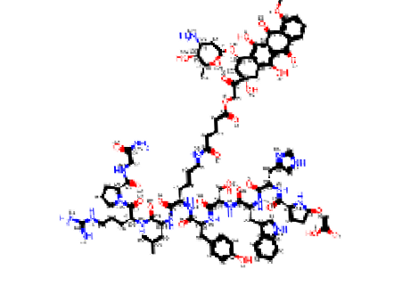 CC(=O)O.COc1cccc2c1C(=O)c1c(O)c3c(c(O)c1C2=O)C[C@@](O)(C(=O)COC(=O)CCCC(=O)NCCCC[C@@H](NC(=O)[C@H](Cc1ccc(O)cc1)NC(=O)[C@H](CO)NC(=O)[C@H](Cc1c[nH]c2ccccc12)NC(=O)[C@H](Cc1c[nH]cn1)NC(=O)[C@@H]1CCC(=O)N1)C(=O)N[C@@H](CC(C)C)C(=O)N[C@@H](CCCNC(=N)N)C(=O)N1CCC[C@H]1C(=O)NCC(N)=O)C[C@@H]3O[C@H]1C[C@H](N)[C@H](O)[C@H](C)O1